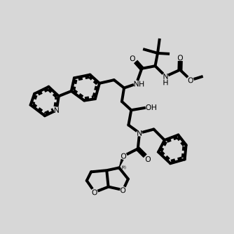 COC(=O)NC(C(=O)NC(Cc1ccc(-c2ccccn2)cc1)CC(O)CN(Cc1ccccc1)C(=O)O[C@H]1COC2OCCC21)C(C)(C)C